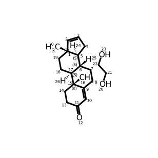 C[C@@]12C=CC[C@H]1[C@@H]1CCC3=CC(=O)CC[C@]3(C)[C@H]1CC2.OCCO